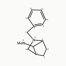 CNC1C2CCC1N(Cc1ccccc1)C2